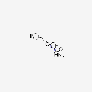 C=C/C(=C\C(F)=C(/C)C(=O)NCC)OCCCC1CCNCC1